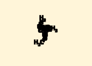 CCCOc1ccc(-c2nc(OC)nc(-c3cc(CN)ccc3Cl)n2)cc1.Cl